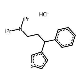 CC(C)N(CCC(c1ccccc1)c1ccsc1)C(C)C.Cl